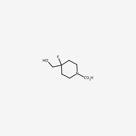 O=C(O)N1CCC(F)(CO)CC1